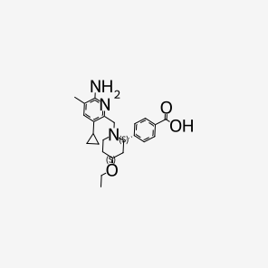 CCO[C@H]1CCN(Cc2nc(N)c(C)cc2C2CC2)[C@H](c2ccc(C(=O)O)cc2)C1